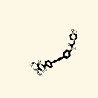 CN1CCN(CC(=O)Nc2ccc(C#CC#Cc3ccc(C(=O)N[C@@H](CN)C(=O)NO)cc3)cc2)CC1